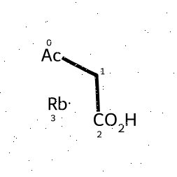 CC(=O)CC(=O)O.[Rb]